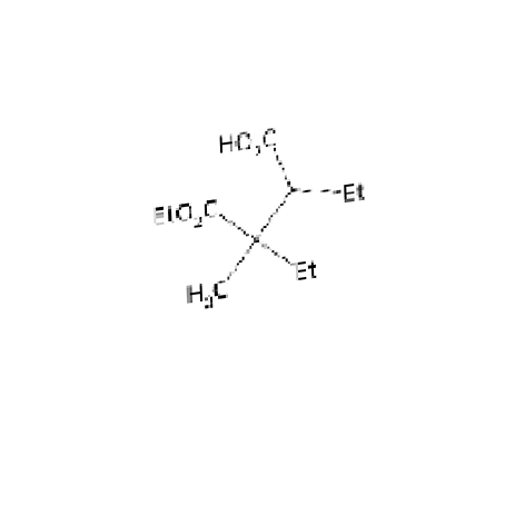 CCOC(=O)C(C)(CC)C(CC)C(=O)O